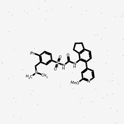 COc1cc(-c2ccc3c(c2NC(=O)NS(=O)(=O)c2ccc(C(C)C)c(CN(C)C)c2)CCC3)ccn1